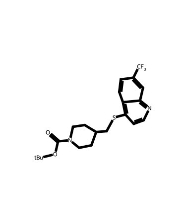 CC(C)(C)OC(=O)N1CCC(CSc2ccnc3cc(C(F)(F)F)ccc23)CC1